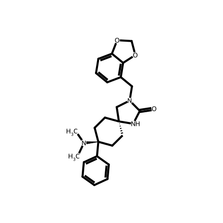 CN(C)[C@]1(c2ccccc2)CC[C@]2(CC1)CN(Cc1cccc3c1OCO3)C(=O)N2